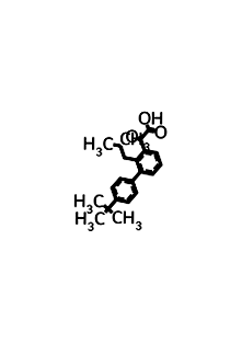 CC(C)Cc1c(C(=O)C(=O)O)cccc1-c1ccc(C(C)(C)C)cc1